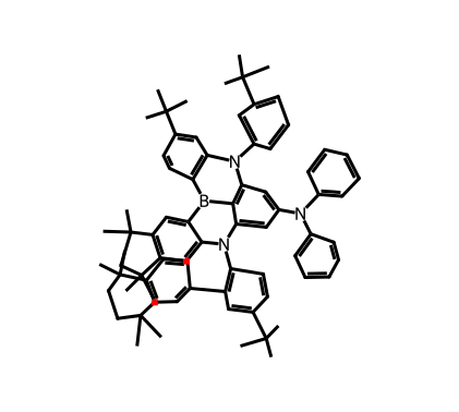 CC(C)(C)c1cccc(N2c3cc(C(C)(C)C)ccc3B3c4cc5c(cc4N(c4ccc(C(C)(C)C)cc4-c4ccc6c(c4)C(C)(C)CCC6(C)C)c4cc(N(c6ccccc6)c6ccccc6)cc2c43)C(C)(C)CC5(C)C)c1